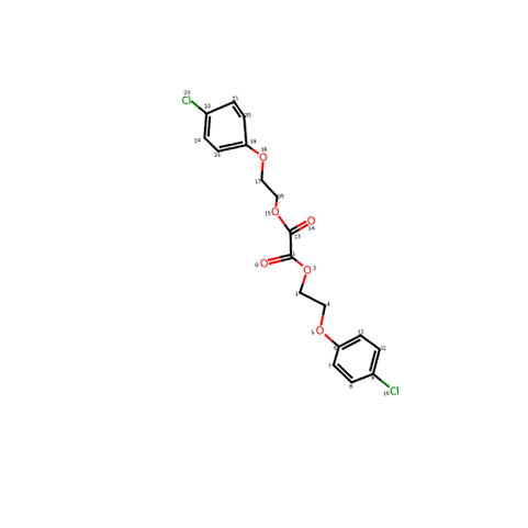 O=C(OCCOc1ccc(Cl)cc1)C(=O)OCCOc1ccc(Cl)cc1